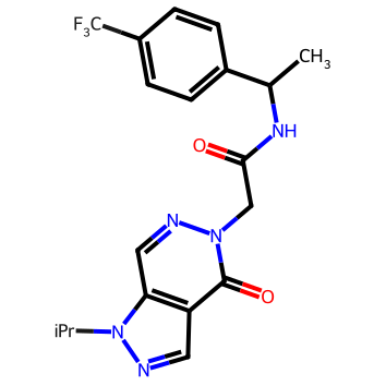 CC(NC(=O)Cn1ncc2c(cnn2C(C)C)c1=O)c1ccc(C(F)(F)F)cc1